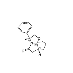 C[C@@]1(c2ccccc2)CO[C@@]23CCC[C@@H]2CC(=O)N13